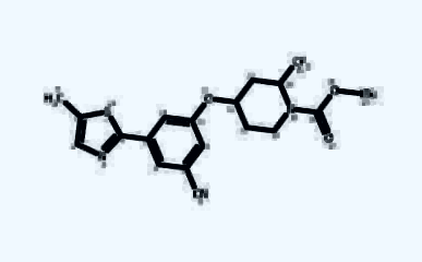 Cc1cnc(-c2cc(C#N)cc(OC3CCN(C(=O)OC(C)(C)C)C(C(F)(F)F)C3)c2)s1